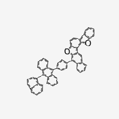 c1ccc2c(-c3c4ccccc4c(-c4ccc(-c5c6ccccc6cc6c5oc5ccc7c8ccccc8oc7c56)cc4)c4ccccc34)cccc2c1